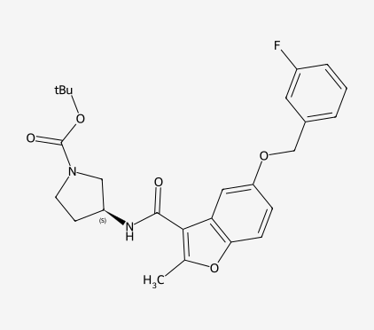 Cc1oc2ccc(OCc3cccc(F)c3)cc2c1C(=O)N[C@H]1CCN(C(=O)OC(C)(C)C)C1